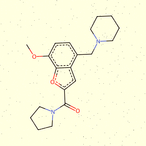 COc1ccc(CN2CCCCC2)c2cc(C(=O)N3CCCC3)oc12